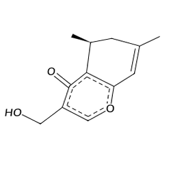 CC1=Cc2occ(CO)c(=O)c2[C@@H](C)C1